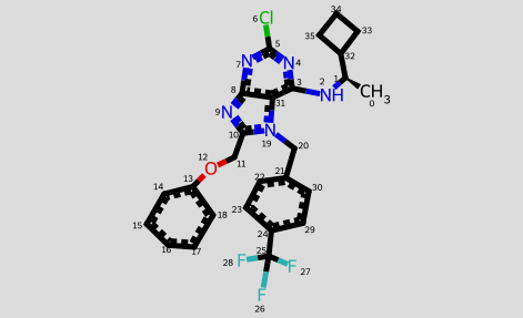 C[C@@H](Nc1nc(Cl)nc2nc(COc3ccccc3)n(Cc3ccc(C(F)(F)F)cc3)c12)C1CCC1